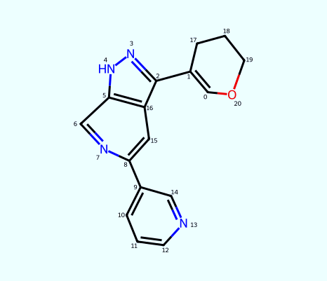 C1=C(c2n[nH]c3cnc(-c4cccnc4)cc23)CCCO1